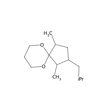 CC(C)CC1CC(C)C2(OCCCO2)C1C